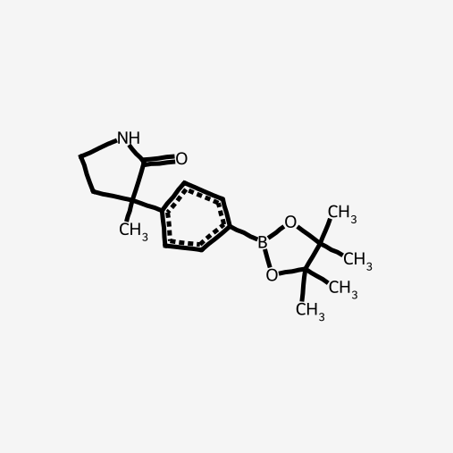 CC1(c2ccc(B3OC(C)(C)C(C)(C)O3)cc2)CCNC1=O